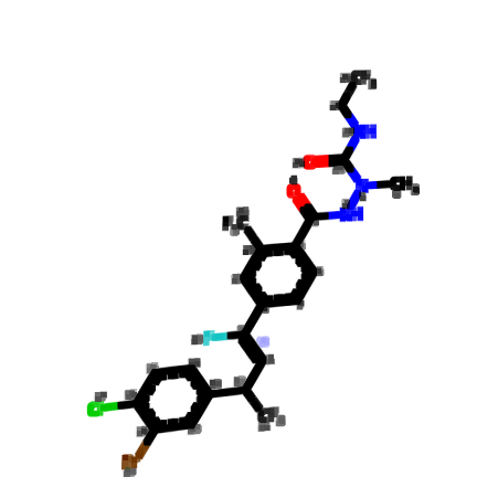 CN(NC(=O)c1ccc(/C(F)=C/C(c2ccc(Cl)c(Br)c2)C(F)(F)F)cc1C(F)(F)F)C(=O)NCC(F)(F)F